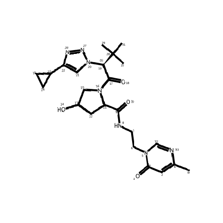 Cc1cc(=O)n(CCNC(=O)C2CC(O)CN2C(=O)[C@@H](n2cc(C3CC3)nn2)C(C)(C)C)cn1